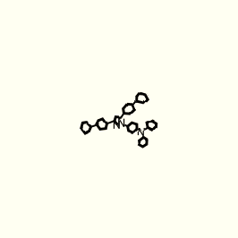 c1ccc(-c2ccc(-c3cc(-c4ccc(-c5ccccc5)cc4)n(-c4ccc(N(c5ccccc5)c5ccccc5)cc4)n3)cc2)cc1